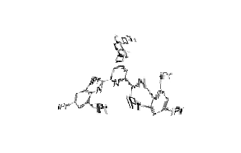 CC(=Nc1c(C(C)C)cc(C(C)C)cc1C(C)C)c1cccc(C(C)=Nc2c(C(C)C)cc(C(C)C)cc2C(C)C)n1.[Cl-].[Cl-].[Cl-].[Co+3]